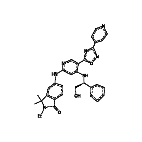 CCN1C(=O)c2ccc(Nc3cc(N[C@H](CO)c4ccccc4)c(-c4nc(-c5ccncc5)no4)cn3)cc2C1(C)C